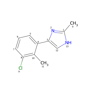 Cc1nc(-c2cccc(Cl)c2C)c[nH]1